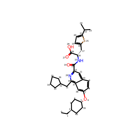 CC[C@H]1CC[C@H](Oc2ccc3cc(C(=O)N[C@@H](Cc4ccc(C(C)C)s4)C(=O)O)nc(CC4CCCC4)c3c2)CC1